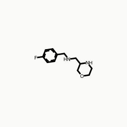 Fc1ccc(CNCC2COCCN2)cc1